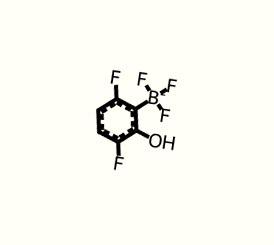 Oc1c(F)ccc(F)c1[B-](F)(F)F